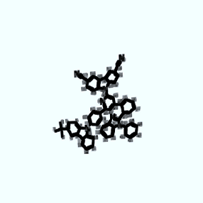 CC(C)(C)c1ccc2c(c1)c1ccccc1n2-c1ccc(-c2cc(-c3ccccc3-c3nc4ccccc4n3-c3ccccc3)cc(-n3c4ccc(C#N)cc4c4cc(C#N)ccc43)n2)cc1